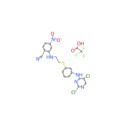 N#Cc1ccc([N+](=O)[O-])cc1NCCSc1cccc(Nc2nc(Cl)ncc2Cl)c1.O=C(O)C(F)(F)F